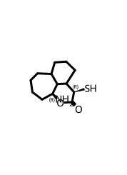 N[C@@]12CCCCC3CCCC(C31)[C@@H](S)C(=O)O2